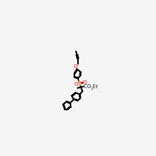 CC#CCOc1ccc(S(=O)(=O)C(C)(Cc2ccc(-c3ccccc3)cc2)C(=O)OCC)cc1